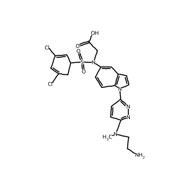 CN(CCN)c1ccc(-n2ccc3cc(N(CC(=O)O)S(=O)(=O)C4C=C(Cl)C=C(Cl)C4)ccc32)nn1